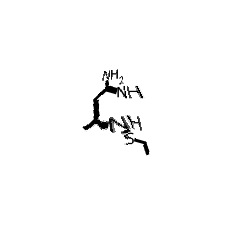 CCSN/C(C)=C\C(=N)N